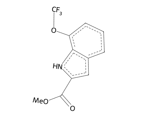 COC(=O)c1cc2cccc(OC(F)(F)F)c2[nH]1